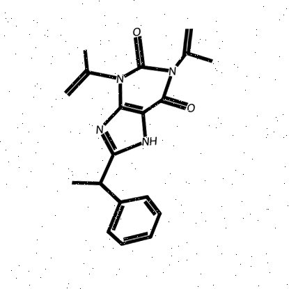 C=C(C)n1c(=O)c2[nH]c(C(C)c3ccccc3)nc2n(C(=C)C)c1=O